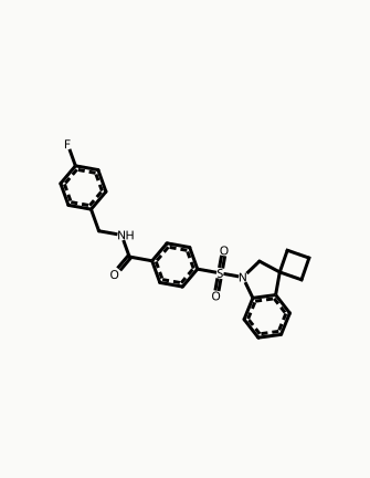 O=C(NCc1ccc(F)cc1)c1ccc(S(=O)(=O)N2CC3(CCC3)c3ccccc32)cc1